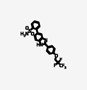 NS(=O)(=O)c1ccccc1-c1ccc2[nH]c(-c3ccc(OCC(F)(F)C(F)(F)F)cc3)nc2c1